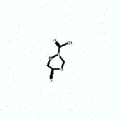 CC(=O)B1COC(=O)CN1